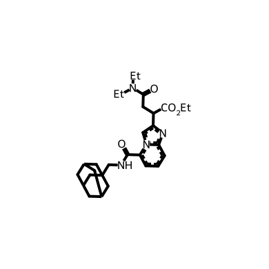 CCOC(=O)C(CC(=O)N(CC)CC)c1cn2c(C(=O)NCC34CC5CC(CC(C5)C3)C4)cccc2n1